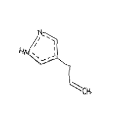 [CH]=CCc1cn[nH]c1